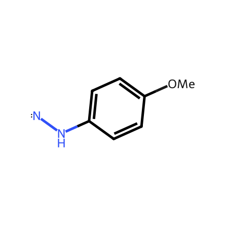 COc1ccc(N[N])cc1